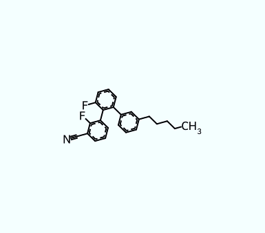 CCCCCc1cccc(-c2cccc(F)c2-c2cccc(C#N)c2F)c1